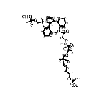 CC(C)(C=O)OCC(C)(C)n1nnc2c1-c1ccccc1CN(C(=O)CCNC(=O)C(C)(C)OCC(C)(C)SSCCOC(=O)C(C)(C)C)c1ccccc1-2